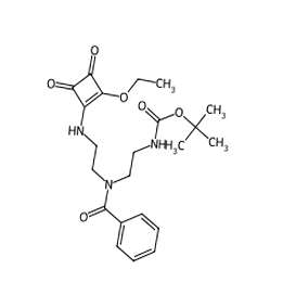 CCOc1c(NCCN(CCNC(=O)OC(C)(C)C)C(=O)c2ccccc2)c(=O)c1=O